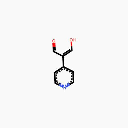 O=CC(=CO)c1ccncc1